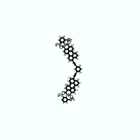 CC(C)c1cccc(C(C)C)c1N1C(=O)c2ccc3c4cccc5c(C#Cc6cccc(C#Cc7ccc8c9ccc%10c%11c(ccc(c%12cccc7c%128)c%119)C(=O)N(c7c(C(C)C)cccc7C(C)C)C%10=O)c6)ccc(c6ccc(c2c36)C1=O)c54